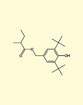 CCC(C)C(=O)OCc1cc(C(C)(C)C)c(O)c(C(C)(C)C)c1